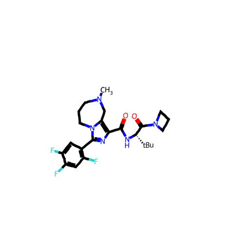 CN1CCCn2c(-c3cc(F)c(F)cc3F)nc(C(=O)N[C@H](C(=O)N3CCC3)C(C)(C)C)c2C1